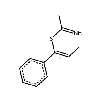 C/C=C(\SC(C)=N)c1ccccc1